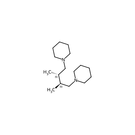 C[C@H](CN1CCCCC1)[C@H](C)CN1CCCCC1